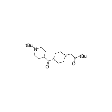 CC(C)(C)C(=O)CN1CCN(C(=O)C2CCN(C(C)(C)C)CC2)CC1